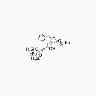 C[SiH2]OC(C#CC(O)C[C@H]1C[C@@H](O[Si](C)(C)C(C)(C)C)CN1Cc1ccccc1)(O[SiH2]C)C(C)(C)C